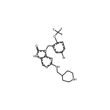 O=c1[nH]c2cnc(NCC3CCNCC3)nc2n1Cc1cc(Br)ccc1OC(F)(F)F